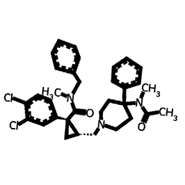 CC(=O)N(C)C1(c2ccccc2)CCN(C[C@@H]2C[C@@]2(C(=O)N(C)Cc2ccccc2)c2ccc(Cl)c(Cl)c2)CC1